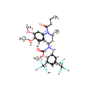 CCCC(=O)N1c2cc(OC)c(OC)cc2C(N(Cc2cc(C(F)(F)F)cc(C(F)(F)F)c2)C(=O)OC)CC1C